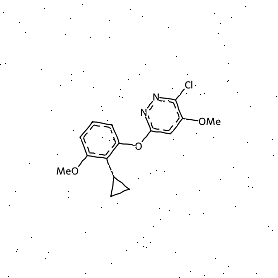 COc1cc(Oc2cccc(OC)c2C2CC2)nnc1Cl